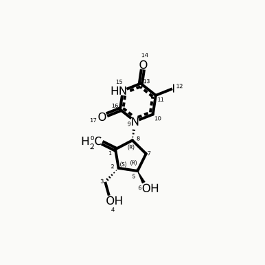 C=C1[C@@H](CO)[C@H](O)C[C@H]1n1cc(I)c(=O)[nH]c1=O